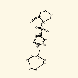 O=C1CCCCN1S(=O)(=O)c1ccc(N2CCCCCC2)cc1